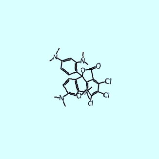 CN(C)c1ccc(C2(c3ccc(N(C)C)cc3N(C)C)OC(=O)c3c(Cl)c(Cl)c(Cl)c(Cl)c32)c(N(C)C)c1